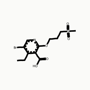 CCc1c(Br)cnc(OCCCS(C)(=O)=O)c1C(=O)O